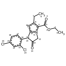 CCOC(=O)c1c(CC)nc2n1CC(=O)N2c1ccc(Cl)cc1Cl